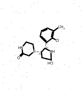 Cc1cccc([C@@H]2NCC[C@@H]2N2CCNC(=O)C2)c1Cl.Cl